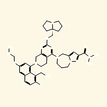 CCc1c(F)ccc2cc(OCOC)cc(N3CCc4c(nc(OC[C@@]56CCCN5C[C@H](F)C6)nc4N4CCCn5nc(C(=O)N(C)C)cc5C4)C3)c12